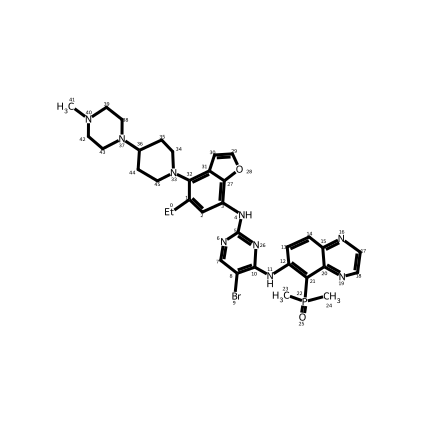 CCc1cc(Nc2ncc(Br)c(Nc3ccc4nccnc4c3P(C)(C)=O)n2)c2occc2c1N1CCC(N2CCN(C)CC2)CC1